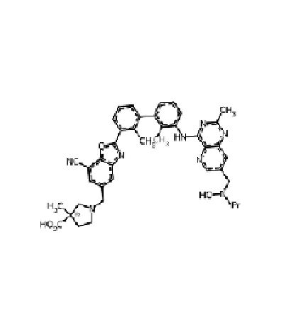 Cc1nc(Nc2cccc(-c3cccc(-c4nc5cc(CN6CC[C@@](C)(C(=O)O)C6)cc(C#N)c5o4)c3C)c2C)c2ncc(CN(O)C(C)C)cc2n1